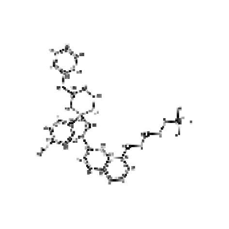 C[Si](C)(C)CCOCOc1cccc2ccc(COC3(c4ccc(F)cc4)CCCN(Cc4ccccc4)C3)cc12